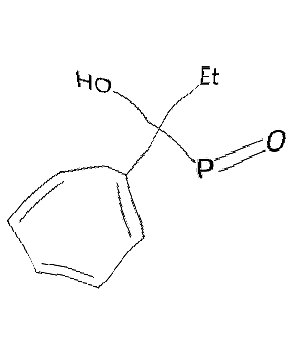 CCC(O)(P=O)c1ccccc1